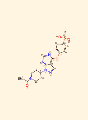 CC(C)(C)C(=O)N1CCC(n2ncc3c(Oc4ccc(S(C)(=O)=O)cc4)ncnc32)CC1